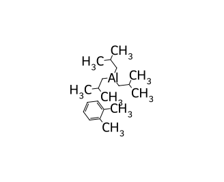 CC(C)[CH2][Al]([CH2]C(C)C)[CH2]C(C)C.Cc1ccccc1C